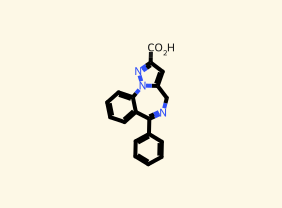 O=C(O)c1cc2n(n1)-c1ccccc1C(c1ccccc1)=NC2